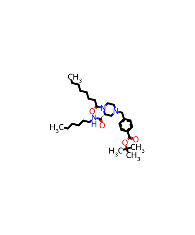 CCCCCCCC(=O)N1CCN(Cc2ccc(C(=O)OC(C)(C)C)cc2)C[C@@H]1C(=O)NCCCCCC